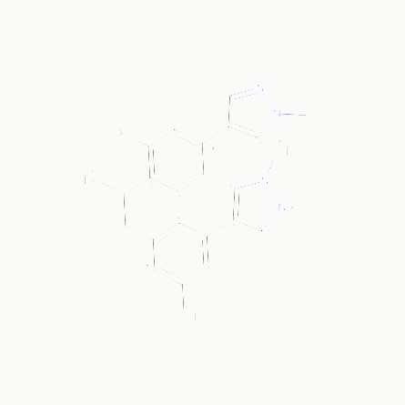 Cc1cc(-c2cnn(C)c2)cc(CC(C)c2ccc(-c3cnn(C)c3)cc2Cl)c1F